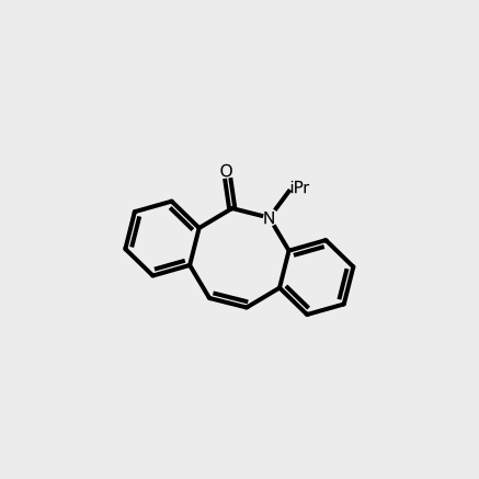 CC(C)N1C(=O)c2ccccc2/C=C\c2ccccc21